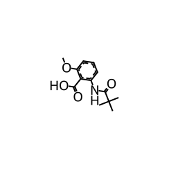 COc1cccc(NC(=O)C(C)(C)C)c1C(=O)O